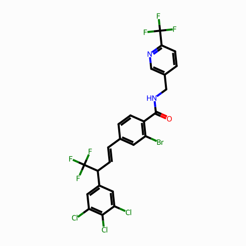 O=C(NCc1ccc(C(F)(F)F)nc1)c1ccc(/C=C/C(c2cc(Cl)c(Cl)c(Cl)c2)C(F)(F)F)cc1Br